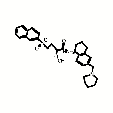 COC(CCS(=O)(=O)c1ccc2ccccc2c1)C(=O)N[C@@H]1CCCc2cc(CN3CCCCC3)ccc21